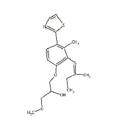 CC/C(C)=N\c1c(OCC(O)COC)ccc(-c2nccs2)c1C